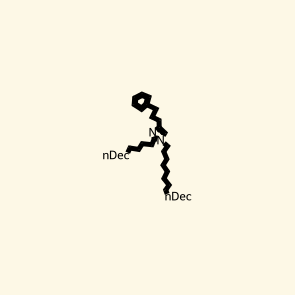 CCCCCCCCCCCCCCCCCCn1cc(CCCc2ccccc2)nc1CCCCCCCCCCCCCC